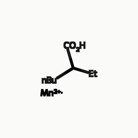 CCCCC(CC)C(=O)O.[Mn+2]